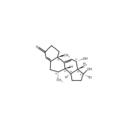 CC[C@]1(O)CC[C@H]2[C@H]3C(=C[C@H](O)[C@@]21C)[C@@]1(C)CCC(=O)C=C1C[C@H]3C